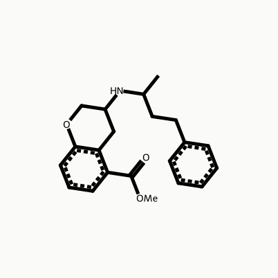 COC(=O)c1cccc2c1CC(NC(C)CCc1ccccc1)CO2